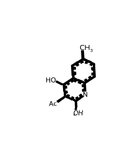 CC(=O)c1c(O)nc2ccc(C)cc2c1O